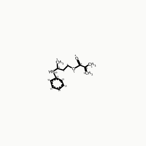 C=C(C)C(=O)OCCC(C)Nc1ccccc1